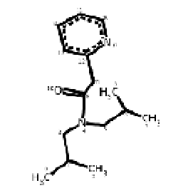 CC(C)CN(CC(C)C)C(=O)Cc1ccccn1